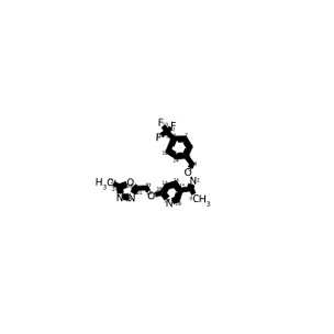 CC(=NOCc1ccc(C(F)(F)F)cc1)c1ccc(OCc2nnc(C)o2)nc1